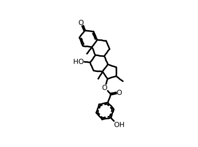 CC1CC2C3CCC4=CC(=O)C=CC4(C)C3C(O)CC2(C)C1OC(=O)c1cccc(O)c1